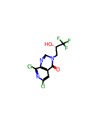 O=c1c2cc(Cl)nc(Cl)c2ncn1C[C@H](O)C(F)(F)F